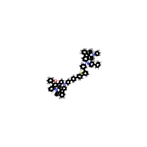 c1ccc(-c2ccc(N(c3cccc(-c4cccc5c4sc4cc(-c6ccc(-c7ccc(N(c8cccc(-c9cccc%10c9oc9ccccc9%10)c8)c8ccc9c(c8)C8(c%10ccccc%10-9)c9ccccc9N(c9ccccc9)c9ccccc98)cc7)cc6)ccc45)c3)c3ccc4c(c3)C3(c5ccccc5-4)c4ccccc4N(c4ccccc4)c4ccccc43)cc2)cc1